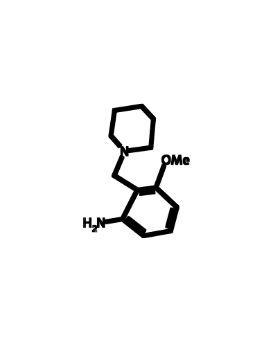 COc1cccc(N)c1CN1CCCCC1